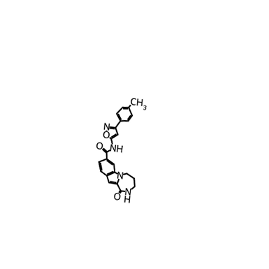 Cc1ccc(-c2cc(NC(=O)c3ccc4cc5n(c4c3)CCCNC5=O)on2)cc1